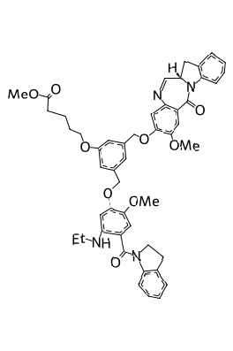 CCNc1cc(OCc2cc(COc3cc4c(cc3OC)C(=O)N3c5ccccc5C[C@H]3C=N4)cc(OCCCCC(=O)OC)c2)c(OC)cc1C(=O)N1CCc2ccccc21